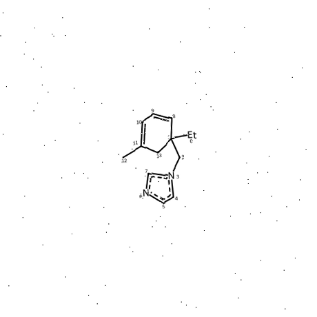 CCC1(Cn2ccnc2)C=CC=C(C)C1